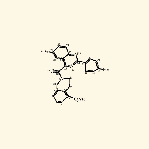 COc1cccc2c1CCN(C(=O)c1nc(-c3ccc(F)cc3)nc3ccc(F)cc13)C2